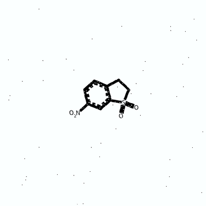 O=[N+]([O-])c1ccc2c(c1)S(=O)(=O)CC2